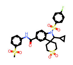 CS(=O)(=O)c1cccc(NC(=O)c2ccc3c(c2)C2(CCS(=O)(=O)CC2)C(C2CC2)N3S(=O)(=O)c2ccc(F)cc2)c1